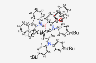 CC(C)(C)c1ccc(N(c2ccc(C(C)(C)C)cc2)c2ccc3c(c2)N(c2ccc(C(C)(C)C)cc2-c2ccccc2)c2c4c(cc5c2oc2ccccc25)-c2cccc5c6c(n(c25)B34)C(C)(C)c2ccccc2-6)cc1